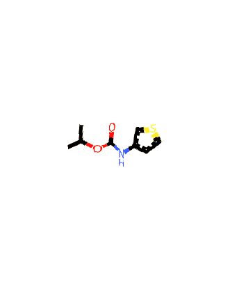 CC(C)OC(=O)Nc1ccsc1